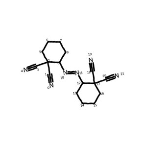 N#CC1(C#N)CCCCC1/N=N/C1CCCCC1(C#N)C#N